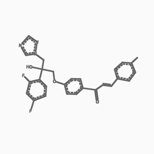 Cc1ccc(/C=C/C(=O)c2ccc(OCC(O)(Cn3cncn3)c3ccc(F)cc3F)cc2)cc1